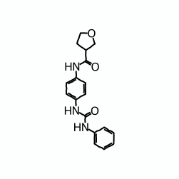 O=C(Nc1ccccc1)Nc1ccc(NC(=O)C2CCOC2)cc1